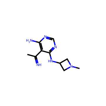 CC(=N)c1c(N)ncnc1NC1CN(C)C1